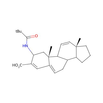 CC(C)(C)C(=O)NC1C[C@@]2(C)C(=CCC3C2C=C[C@]2(C)CCCC32)C=C1C(=O)O